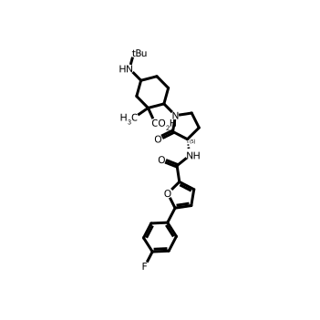 CC(C)(C)NC1CCC(N2CC[C@H](NC(=O)c3ccc(-c4ccc(F)cc4)o3)C2=O)C(C)(C(=O)O)C1